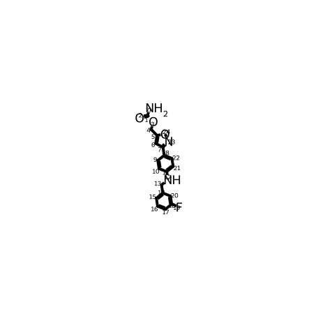 NC(=O)OCc1cc(-c2ccc(NCc3cccc(F)c3)cc2)no1